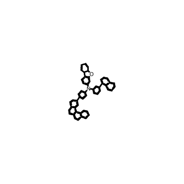 C1=CC2Oc3cc(N(c4ccc(-c5ccc6ccc7ccc8ccccc8c7c6c5)cc4)c4cccc(-c5cccc6ccccc56)c4)ccc3C2C=C1